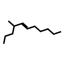 CCCCCC=CC(C)CCC